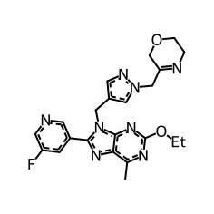 CCOc1nc(C)c2nc(-c3cncc(F)c3)n(Cc3cnn(CC4=NCCOC4)c3)c2n1